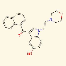 O=C(c1cccc2ccccc12)c1cn(CCN2CCOCC2)c2ccc(O)cc12